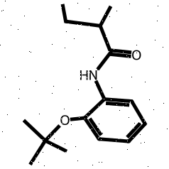 CCC(C)C(=O)Nc1ccccc1OC(C)(C)C